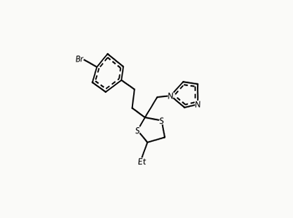 CCC1CSC(CCc2ccc(Br)cc2)(Cn2ccnc2)S1